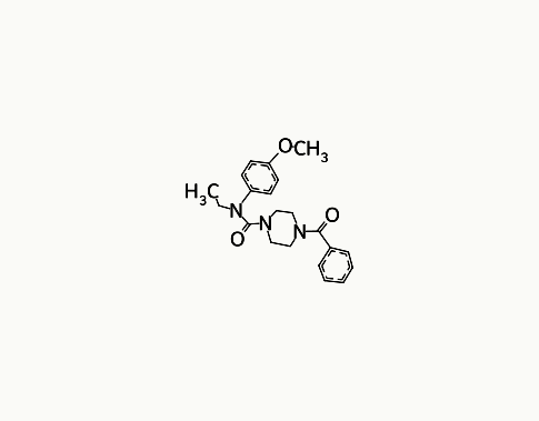 CCN(C(=O)N1CCN(C(=O)c2ccccc2)CC1)c1ccc(OC)cc1